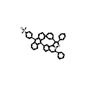 CP(C)(=O)c1ccc(-c2c3ccccc3c(-c3ccc4cc(-c5ccccc5)n5nc(-c6ccccc6)c(-c6ccccc6)c5c4c3)c3ccccc23)cc1